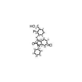 O=C(O)c1cccc(Cn2c(=O)n(-c3ccccc3)c3cc(Cl)ccc32)c1F